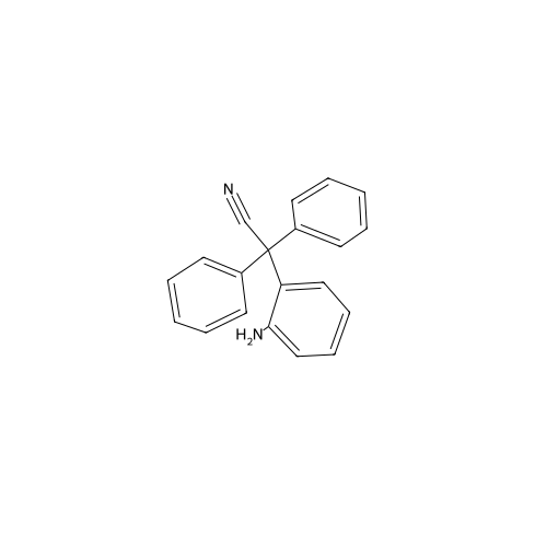 N#CC(c1ccccc1)(c1ccccc1)c1ccccc1N